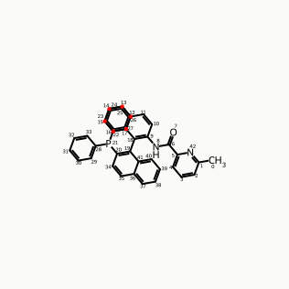 Cc1cccc(C(=O)Nc2ccc3ccccc3c2-c2c(P(c3ccccc3)c3ccccc3)ccc3ccccc23)n1